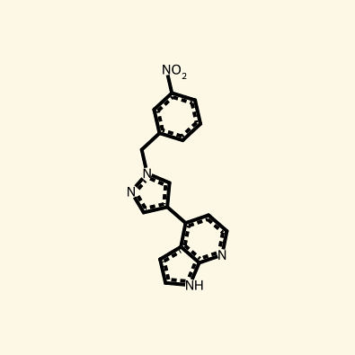 O=[N+]([O-])c1cccc(Cn2cc(-c3ccnc4[nH]ccc34)cn2)c1